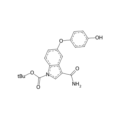 CC(C)(C)OC(=O)n1cc(C(N)=O)c2cc(Oc3ccc(O)cc3)ccc21